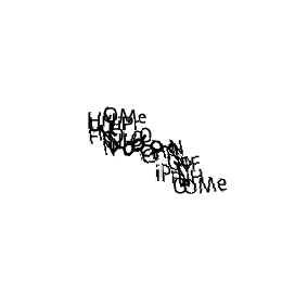 CON[C@H](C(=O)N(Cc1ncc(-c2ccc3c4c(c(=O)oc3c2)-c2ccc(-c3cnc([C@@H]5C[C@@H](F)CN5C(=O)[C@@H](NC(=O)OC)C(C)C)[nH]3)cc2OC4)[nH]1)C[C@H](F)I)C(C)C